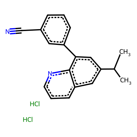 CC(C)c1cc(-c2cccc(C#N)c2)c2ncccc2c1.Cl.Cl